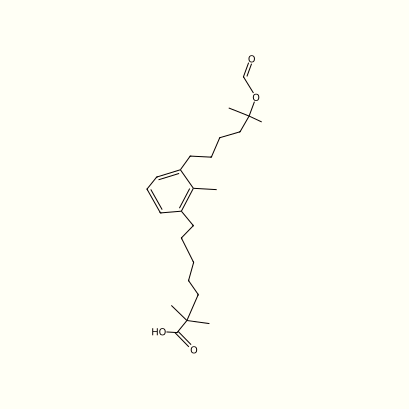 Cc1c(CCCCCC(C)(C)C(=O)O)cccc1CCCCC(C)(C)OC=O